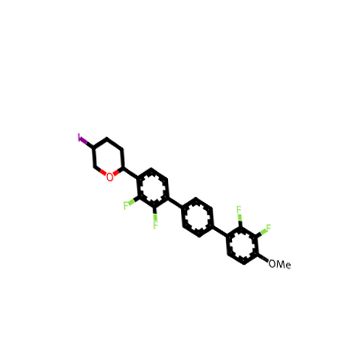 COc1ccc(-c2ccc(-c3ccc(C4CCC(I)CO4)c(F)c3F)cc2)c(F)c1F